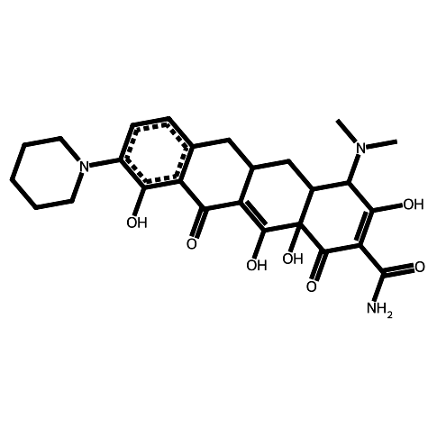 CN(C)C1C(O)=C(C(N)=O)C(=O)C2(O)C(O)=C3C(=O)c4c(ccc(N5CCCCC5)c4O)CC3CC12